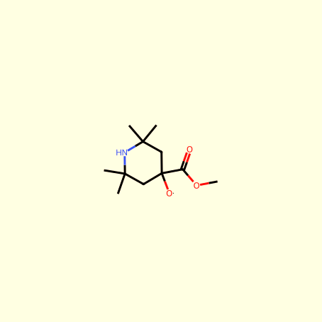 COC(=O)C1([O])CC(C)(C)NC(C)(C)C1